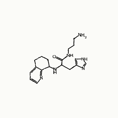 NCCCNC(=O)C(Cc1c[nH]cn1)NC1CCCc2cccnc21